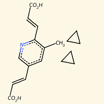 C1CC1.C1CC1.Cc1cc(C=CC(=O)O)cnc1C=CC(=O)O